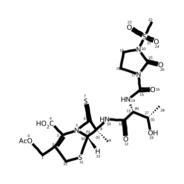 CC(=O)OCC1=C(C(=O)O)N2C(=S)[C@@](C)(NC(=O)[C@H](NC(=O)N3CCN(S(C)(=O)=O)C3=O)[C@H](C)O)[C@@H]2SC1